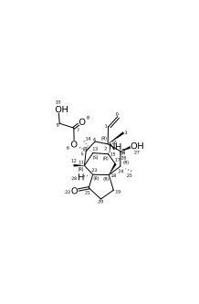 C=C[C@@]1(C)C[C@@H](OC(=O)CO)[C@]2(C)[C@H](C)[C@H](N)C[C@]3(CCC(=O)[C@H]32)[C@@H](C)[C@@H]1O